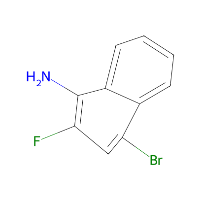 Nc1c(F)cc(Br)c2ccccc12